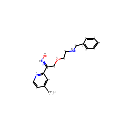 O=C(O)c1ccnc(/C(COCCNCc2ccccc2)=N/O)c1